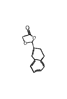 O=C1COC(C2=Cc3ccccc3CC2)O1